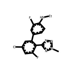 CCNc1ccc(-c2cc(Cl)cc(F)c2-c2nnn(C)n2)cc1F